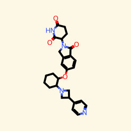 O=C1CCC(N2Cc3cc(OC4CCCCC4N4CC(c5ccncc5)C4)ccc3C2=O)C(=O)N1